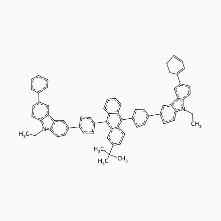 CCn1c2ccc(C3=CC=CCC3)cc2c2cc(-c3ccc(-c4c5ccccc5c(-c5ccc(-c6ccc7c(c6)c6cc(-c8ccccc8)ccc6n7CC)cc5)c5cc(C(C)(C)C)ccc45)cc3)ccc21